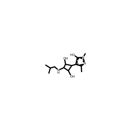 Cc1nn(C)c(O)c1C1C(O)C(NCC(C)C)C1O